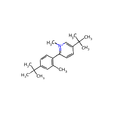 Cc1cc(C(C)(C)C)ccc1-c1ccc(C(C)(C)C)c[n+]1C